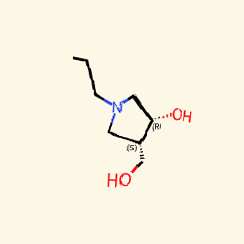 CCCN1C[C@@H](CO)[C@@H](O)C1